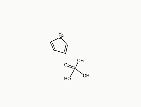 C1=C[SiH2]C=C1.O=P(O)(O)O